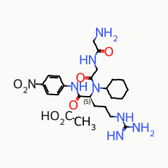 CC(=O)O.N=C(N)NCCC[C@@H](C(=O)Nc1ccc([N+](=O)[O-])cc1)N(C(=O)CNC(=O)CN)C1CCCCC1